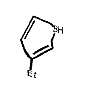 CCC1=CBC=C1